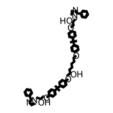 CC(C)(c1ccc(OCCCCCC(O)COc2ccc(C(C)(C)c3ccc(OCC(O)Cn4ccnc4-c4ccccc4)cc3)cc2)cc1)c1ccc(OCC(O)Cn2ccnc2-c2ccccc2)cc1